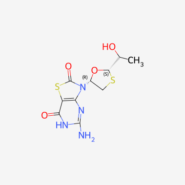 CC(O)[C@H]1O[C@@H](n2c(=O)sc3c(=O)[nH]c(N)nc32)CS1